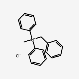 C[N+](Cc1ccccc1)(c1ccccc1)c1ccccc1.[Cl-]